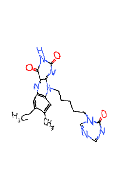 Cc1cc2nc3c(=O)[nH]c(=O)nc-3n(CCCCCn3cncnc3=O)c2cc1C